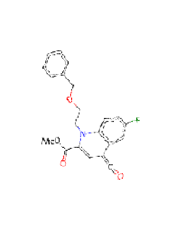 COC(=O)C1=CC(=C=O)c2cc(F)ccc2N1CCOCc1ccccc1